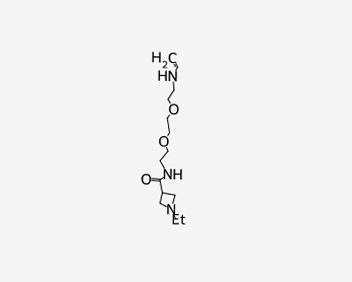 C=CNCCOCCOCCNC(=O)C1CN(CC)C1